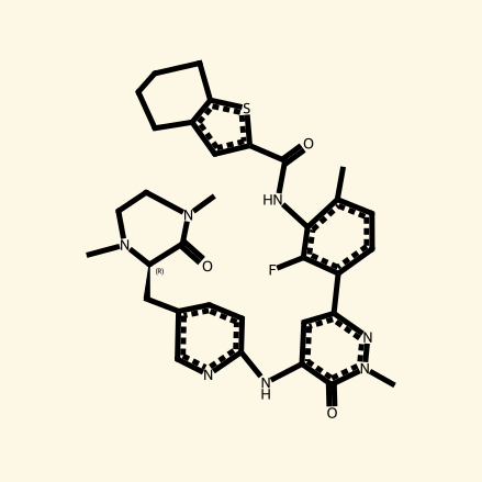 Cc1ccc(-c2cc(Nc3ccc(C[C@@H]4C(=O)N(C)CCN4C)cn3)c(=O)n(C)n2)c(F)c1NC(=O)c1cc2c(s1)CCCC2